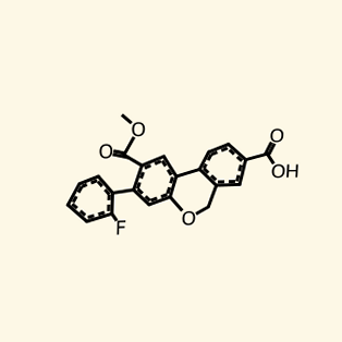 COC(=O)c1cc2c(cc1-c1ccccc1F)OCc1cc(C(=O)O)ccc1-2